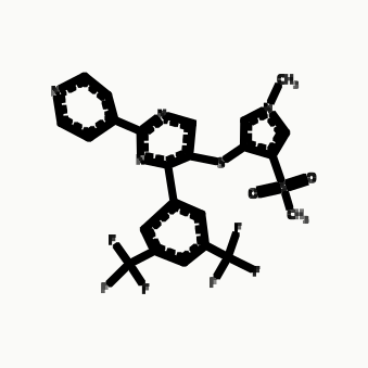 Cn1cc(Sc2cnc(-c3ccncc3)nc2-c2cc(C(F)(F)F)cc(C(F)(F)F)c2)c(S(C)(=O)=O)c1